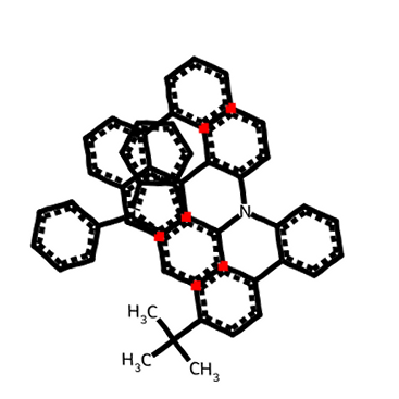 CC(C)(C)c1ccc(-c2ccccc2N(c2ccccc2-c2cccc3cccc(-c4ccccc4)c23)c2cccc3c2c2ccccc2n3-c2ccccc2)cc1